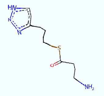 NCCC(=O)SCCc1c[nH]nn1